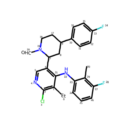 CCc1c(Cl)ncc(C2CC(c3ccc(F)cc3)CCN2C=O)c1Nc1cccc(F)c1C